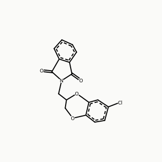 O=C1c2ccccc2C(=O)N1CC1COc2ccc(Cl)cc2O1